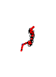 CCCCCCCC/C=C\CCCCCCCCOCC(CN1CCOCC1)OCCOCCOC(=O)O[C@H]1CC[C@@]2(C)C(=CC[C@H]3[C@@H]4CC[C@H]([C@H](C)CCCC(C)C)[C@@]4(C)CC[C@@H]32)C1